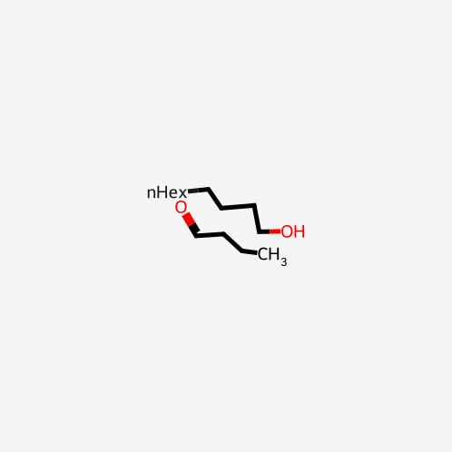 CCCC=O.CCCCCCCCCCO